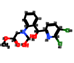 COC(=O)CN(CO)c1ccccc1C(O)c1ccc(Cl)c(Cl)n1